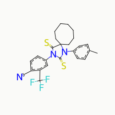 Cc1ccc(N2C(=S)N(c3ccc(C#N)c(C(F)(F)F)c3)C(=S)C23CCCCCCC3)cc1